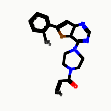 C=CC(=O)N1CCN(C2=NC=NC3C=C(c4ccccc4C(F)(F)F)SC23)CC1